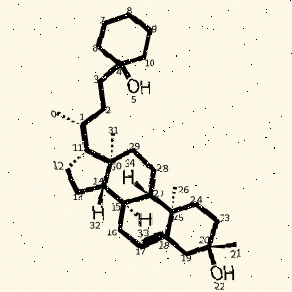 C[C@H](CCC1(O)CCCCC1)[C@H]1CC[C@H]2[C@@H]3CC=C4C[C@@](C)(O)CC[C@]4(C)[C@H]3CC[C@]12C